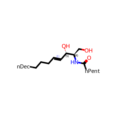 CCCCCCCCCCCCC/C=C/[C@H](O)[C@@H](CO)NC(=O)CCCCC